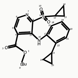 CC(C)(C)OC(=O)c1ccnc(S(=O)(=O)C2CC2)c1Nc1ccccc1C1CC1